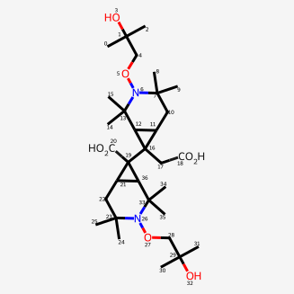 CC(C)(O)CON1C(C)(C)CC2C(C1(C)C)C2(CC(=O)O)C1(C(=O)O)C2CC(C)(C)N(OCC(C)(C)O)C(C)(C)C21